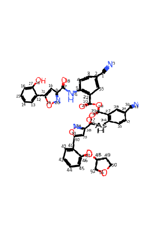 N#Cc1ccc(NC(=O)c2cc(-c3ccccc3O)on2)c(C(=O)OC(=O)c2cc(C#N)ccc2[AsH]C(=O)c2cc(-c3ccccc3OC3CCOC3)on2)c1